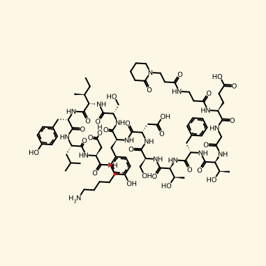 CC[C@H](C)[C@H](NC(=O)[C@H](CO)NC(=O)[C@H](Cc1ccc(O)cc1)NC(=O)[C@H](CC(=O)O)NC(=O)[C@H](CO)NC(=O)[C@@H](NC(=O)[C@H](Cc1ccccc1)NC(=O)[C@@H](NC(=O)CNC(=O)[C@H](CCC(=O)O)NC(=O)CCNC(=O)CCN1CCCCC1=O)[C@@H](C)O)[C@@H](C)O)C(=O)N[C@@H](Cc1ccc(O)cc1)C(=O)N[C@@H](CC(C)C)C(=O)N[C@@H](CC(=O)O)C(=O)N[C@H](C)CCCCN